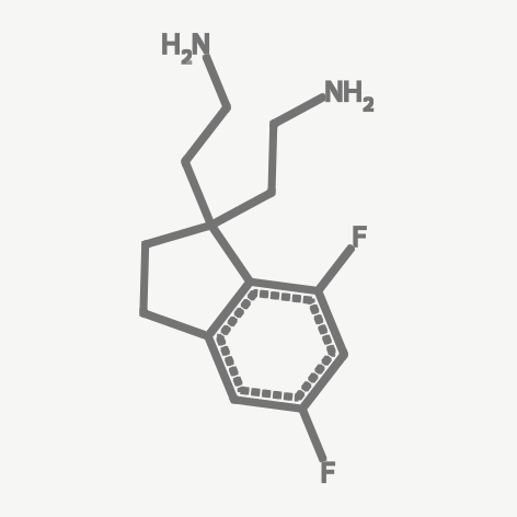 NCCC1(CCN)CCc2cc(F)cc(F)c21